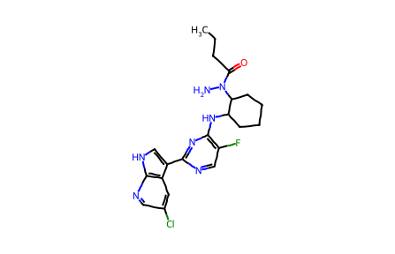 CCCC(=O)N(N)C1CCCCC1Nc1nc(-c2c[nH]c3ncc(Cl)cc23)ncc1F